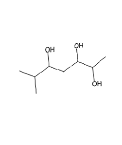 CC(C)C(O)CC(O)C(C)O